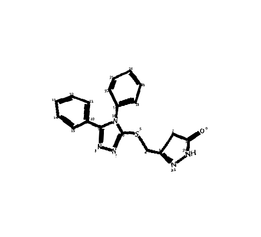 O=C1CC(CSc2nnc(-c3ccccc3)n2-c2ccccc2)=NN1